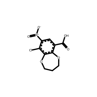 O=C(O)c1cc([N+](=O)[O-])c(Cl)c2c1OCCCO2